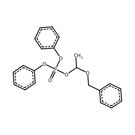 CC(OCc1ccccc1)OP(=O)(Oc1ccccc1)Oc1ccccc1